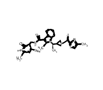 CSc1cc(C)[nH]c(=O)c1CNC(=S)c1c(C)n([C@H](C)C2CN(C(=O)c3nc(C)cs3)C2)c2ccccc12